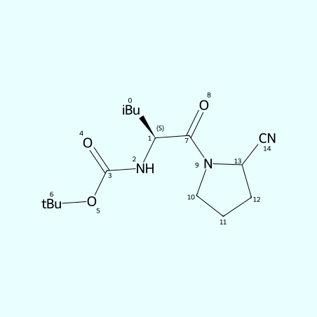 CCC(C)[C@H](NC(=O)OC(C)(C)C)C(=O)N1CCCC1C#N